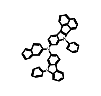 c1ccc(-n2c3c(c4ccc(N(c5ccc6ccccc6c5)c5ccc6c7ccccc7n(-c7ccccc7)c6c5)cc42)-c2cccc4cccc-3c24)cc1